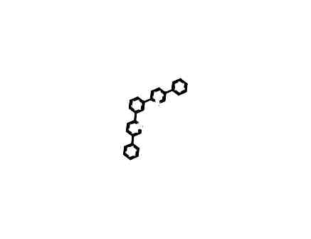 c1ccc(-c2ccc(-c3cccc(-c4ccc(-c5ccccc5)cn4)c3)nc2)cc1